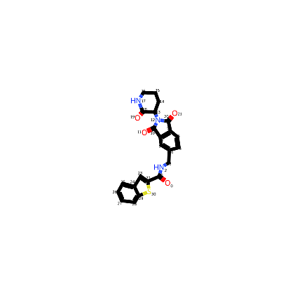 O=C(NCc1ccc2c(c1)C(=O)N(C1CCCNC1=O)C2=O)c1cc2ccccc2s1